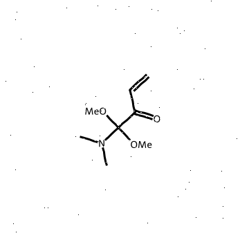 C=CC(=O)C(OC)(OC)N(C)C